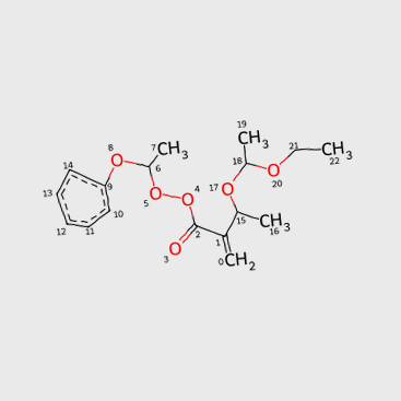 C=C(C(=O)OOC(C)Oc1ccccc1)C(C)OC(C)OCC